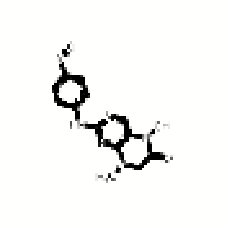 CN1CC(=O)N(C)c2cnc(Nc3ccc(N=O)cc3)nc21